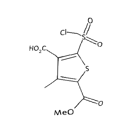 COC(=O)c1sc(S(=O)(=O)Cl)c(C(=O)O)c1C